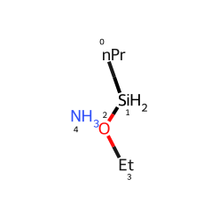 CCC[SiH2]OCC.N